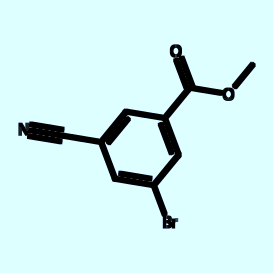 COC(=O)c1cc(Br)cc(C#N)c1